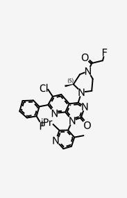 Cc1ccnc(C(C)C)c1-n1c(=O)nc(N2CCN(C(=O)CF)C[C@@H]2C)c2cc(Cl)c(-c3ccccc3F)nc21